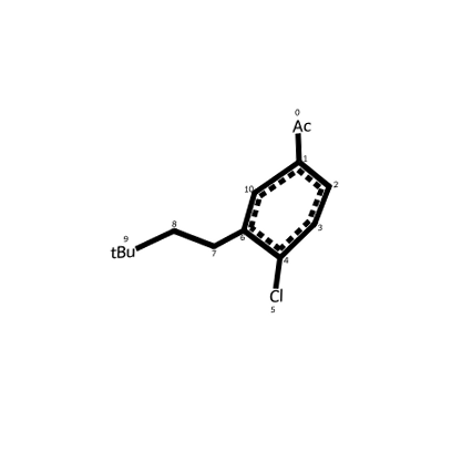 CC(=O)c1ccc(Cl)c(CCC(C)(C)C)c1